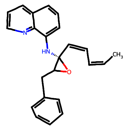 C/C=C\C=C/[C@@]1(Nc2cccc3cccnc23)OC1Cc1ccccc1